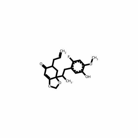 C=CCC1CC2(C(C)Cc3cc(O)c(OC)cc3F)OCOC2=CC1=O